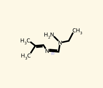 CCN(N)/C=N\C=C(C)C